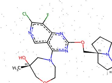 C[C@]1(O)COCCN(c2nc(OC[C@@]34CCCN3C[C@H](F)C4)nc3c(F)c(Cl)ncc23)C1